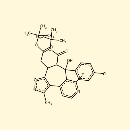 Cc1noc2c1-c1ccnc(F)c1C(O)(c1ccc(Cl)cc1)N(C(=O)OC(C)(C)C)C2CC(=O)OC(C)(C)C